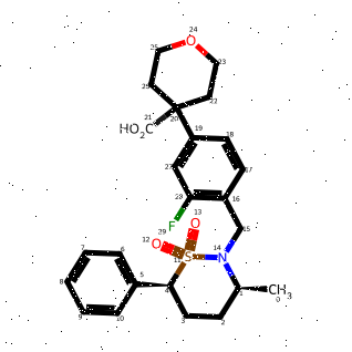 C[C@H]1CC[C@@H](c2ccccc2)S(=O)(=O)N1Cc1ccc(C2(C(=O)O)CCOCC2)cc1F